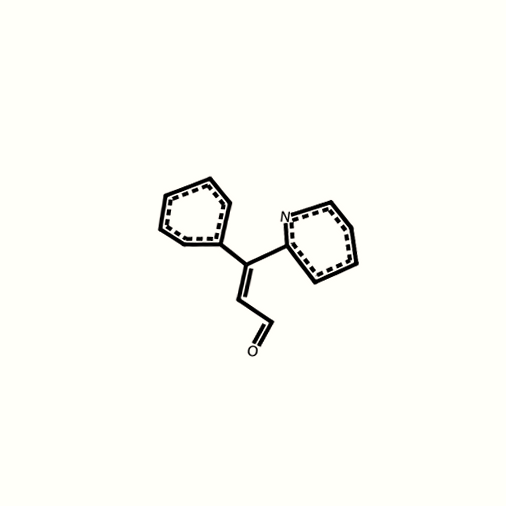 O=CC=C(c1ccccc1)c1ccccn1